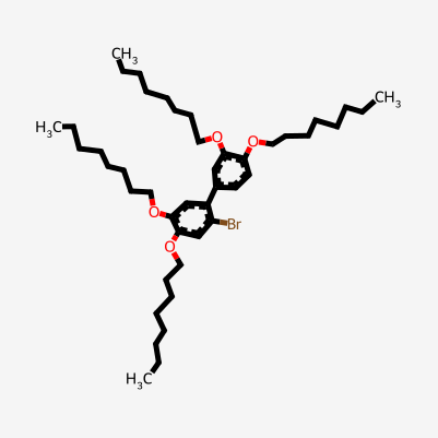 CCCCCCCCOc1ccc(-c2cc(OCCCCCCCC)c(OCCCCCCCC)cc2Br)cc1OCCCCCCCC